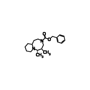 CC1CN(C(=O)OCc2ccccc2)CCC2CCCCN2C1C